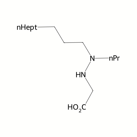 CCCCCCCCCCN(CCC)NCC(=O)O